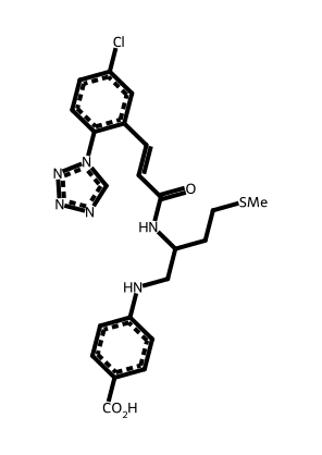 CSCCC(CNc1ccc(C(=O)O)cc1)NC(=O)/C=C/c1cc(Cl)ccc1-n1cnnn1